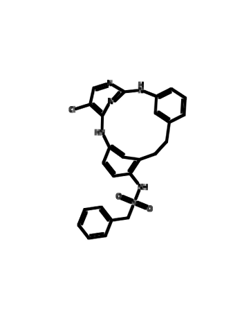 O=S(=O)(Cc1ccccc1)Nc1ccc2cc1CCc1cccc(c1)Nc1ncc(Cl)c(n1)N2